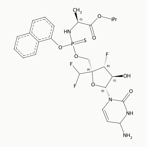 CC(C)OC(=O)[C@H](C)NP(=S)(OC[C@@]1(C(F)F)O[C@@H](N2C=CC(N)NC2=O)[C@H](O)[C@H]1F)Oc1cccc2ccccc12